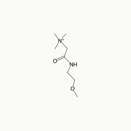 COCCNC(=O)C[N+](C)(C)C